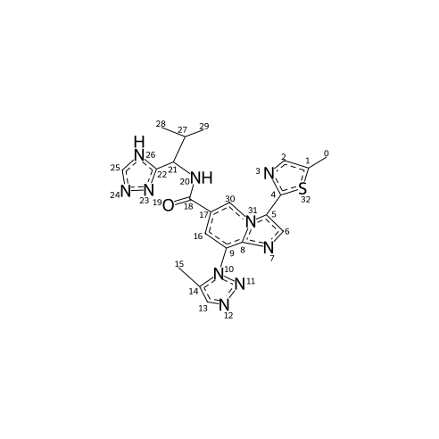 Cc1cnc(-c2cnc3c(-n4nncc4C)cc(C(=O)NC(c4nnc[nH]4)C(C)C)cn23)s1